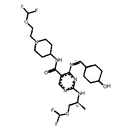 C[C@@H](COC(F)F)Nc1ncc(C(=O)NC2CCN(CCOC(F)F)CC2)c(/N=C\C2CCC(O)CC2)n1